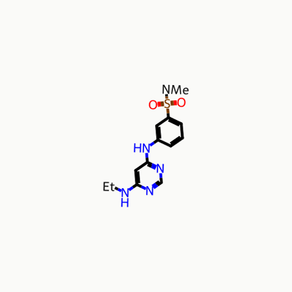 CCNc1cc(Nc2cccc(S(=O)(=O)NC)c2)ncn1